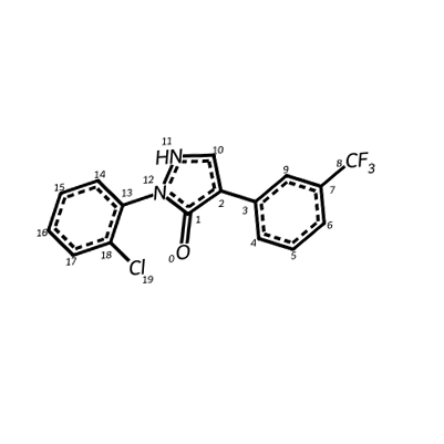 O=c1c(-c2cccc(C(F)(F)F)c2)c[nH]n1-c1ccccc1Cl